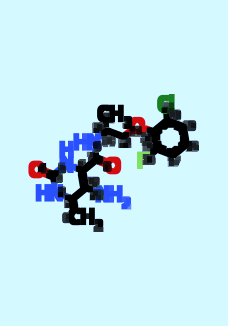 C=C1NC(=O)NC(C(=O)N[C@H](C)COc2c(F)cccc2Cl)=C1N